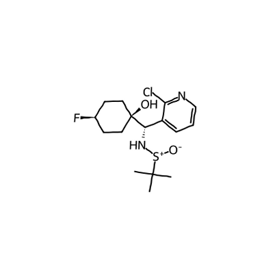 CC(C)(C)[S+]([O-])N[C@@H](c1cccnc1Cl)[C@]1(O)CC[C@@H](F)CC1